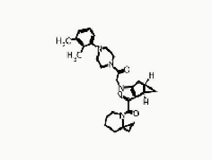 Cc1cccc(N2CCN(C(=O)Cn3nc(C(=O)N4CCCCC45CC5)c4c3C[C@@H]3C[C@@H]43)CC2)c1C